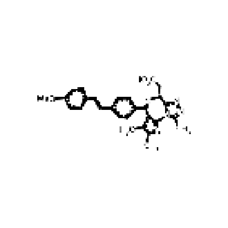 COc1ccc(/C=C/c2ccc(C3=N[C@@H](CC(=O)O)c4nnc(C)n4-c4sc(C)c(C)c43)cc2)cc1